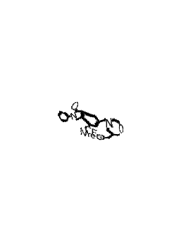 COCC1COCCN(Cc2cc3c(c(C(F)(F)F)c2)CN(c2ccccc2)C3=O)C1